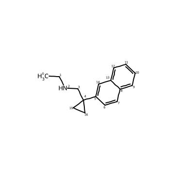 CCNCC1(c2ccc3ccccc3c2)CC1